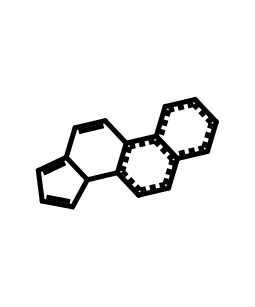 C1=CC2C(=C1)C=Cc1c2ccc2ccccc12